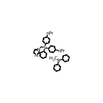 CB(c1ccccc1)c1ccccc1.CCCc1ccc([Si](Cn2ccnc2)(c2ccccc2)c2ccc(CCC)cc2)cc1